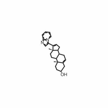 C[C@]12CC[C@H](O)CC1=CCC1C2CC[C@]2(C)C(c3cnc4ccccn34)=CCC12